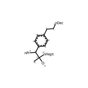 CCCCCCCCCCCCc1ccc(C(CCC)C(C)([O])CCCCCCC)cc1